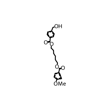 COc1ccc(C(=O)OCCCCCCOC(=O)c2ccc(CO)cc2)cc1